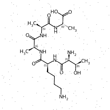 C[C@H](NC(=O)[C@H](C)NC(=O)[C@H](C)NC(=O)[C@H](CCCCN)NC(=O)[C@@H](N)[C@@H](C)O)C(=O)O